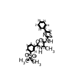 CC(NC(=O)c1cccc(S(=O)(=O)N(C)C)c1)C(=O)Nc1nc(-c2ccccc2)cs1